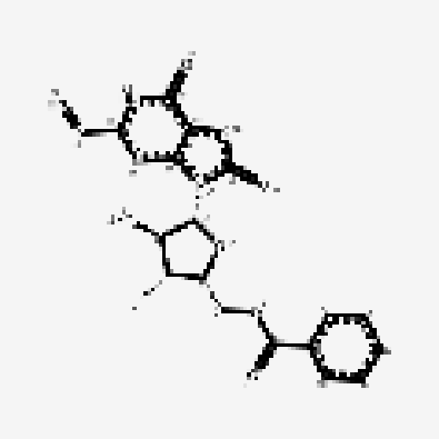 CC(=O)O[C@@H]1[C@@H](F)[C@@H](COC(=O)c2ccccc2)O[C@H]1n1c(=O)sc2c(=O)[nH]c(N=N)nc21